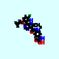 Cc1[nH]c2c(-c3cc(F)ccc3OCC3CC3)ncnc2c1C(=O)NC1CCC(NC(=O)O)CC1